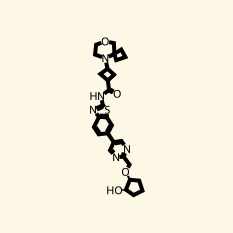 O=C(Nc1nc2ccc(-c3cnc(CO[C@H]4CCC[C@@H]4O)nc3)cc2s1)C1CC(N2CCOCC23CCC3)C1